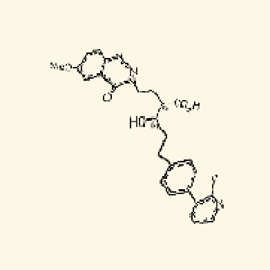 COc1ccc2nnn(CC[C@H](C(=O)O)[C@H](O)CCc3ccc(-c4cccnc4Cl)cc3)c(=O)c2c1